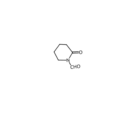 O=CN1CCCCC1=O